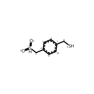 O=[SH](=O)Cc1ccc(CS)cc1